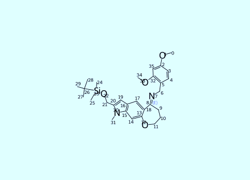 COc1ccc(C/N=C2\CCCOc3cc4c(cc32)cc(CO[Si](C)(C)C(C)(C)C)n4C)c(OC)c1